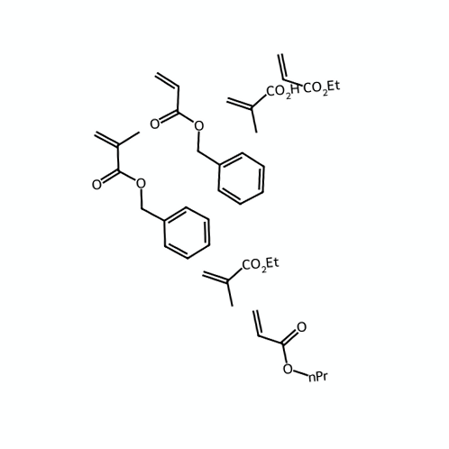 C=C(C)C(=O)O.C=C(C)C(=O)OCC.C=C(C)C(=O)OCc1ccccc1.C=CC(=O)OCC.C=CC(=O)OCCC.C=CC(=O)OCc1ccccc1